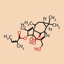 C/C=C(/C)C(=O)O[C@H]1C(C)=C[C@]23C(=O)[C@@H](C=C(CO)[C@@H](O)[C@]12O)[C@H]1[C@@H](CC3C)C1(C)C